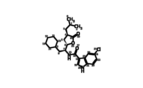 CC(C)C[C@@H]1C[C@@H]([C@H](CC2CCCCC2)NC(=O)c2c[nH]c3ccc(Cl)cc23)OC1=O